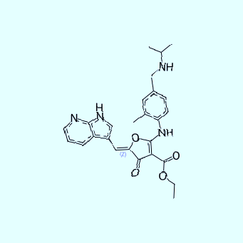 CCOC(=O)C1=C(Nc2ccc(CNC(C)C)cc2C)O/C(=C\c2c[nH]c3ncccc23)C1=O